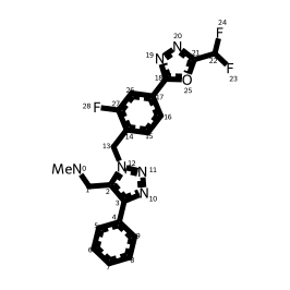 CNCc1c(-c2ccccc2)nnn1Cc1ccc(-c2nnc(C(F)F)o2)cc1F